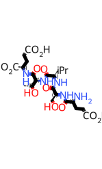 CC(C)[C@H](NC(=O)[C@H](CO)NC(=O)[C@@H](N)CCC(=O)O)C(=O)N[C@H](C(=O)N[C@@H](CCC(=O)O)C(=O)O)[C@@H](C)O